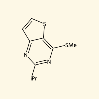 CSc1nc(C(C)C)nc2ccsc12